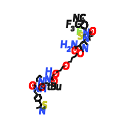 Cc1ncsc1-c1ccc(CNC(=O)[C@@H]2CCCN2C(=O)C(NC(=O)COCCCOCCCCCOc2ncc(N3C(=S)N(c4ccc(C#N)c(C(F)(F)F)c4F)C(=O)C3(C)C)cc2C(N)=O)C(C)(C)C)cc1